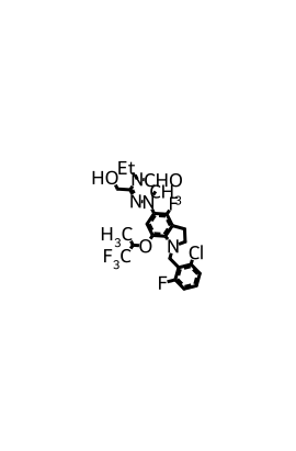 CCN(C=O)/C(CO)=N\N(C)c1cc(OC(C)C(F)(F)F)c2c(c1F)CCN2Cc1c(F)cccc1Cl